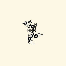 Cc1csc([C@H]2CCCN2C(=O)c2cc(C(=O)N[C@@H](C)CC(NCc3cccc(C(F)(F)F)c3)c3cccc(O)c3)nc(N(C)C)c2)n1